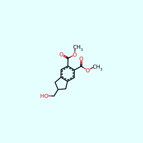 COC(=O)c1cc2c(cc1C(=O)OC)CC(CO)C2